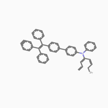 C=C/C=C(\C=C/CC(C)C)N(c1ccccc1)c1ccc(-c2ccc(/C(=C(/c3cc#ccc3)c3ccccc3)c3ccccc3)cc2)cc1